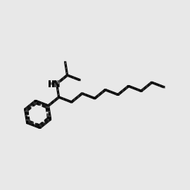 CCCCCCCCCC(NC(C)C)c1ccccc1